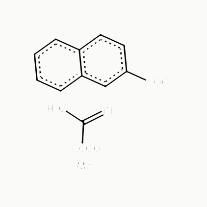 C=C(C)C(=O)[O-].O=C([O-])c1ccc2ccccc2c1.[Mg+2]